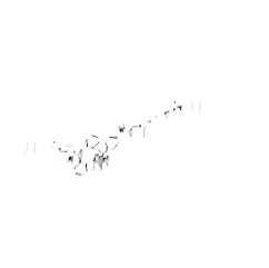 CNCCOCCOCCNC(=O)c1ccc(-n2nnc3c2-c2ccccc2CN(C(=O)CCNC)c2ccccc2-3)cc1